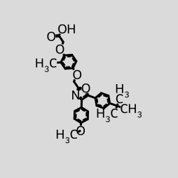 COc1ccc(-c2nc(COc3ccc(OCC(=O)O)c(C)c3)oc2-c2ccc(C(C)(C)C)cc2)cc1